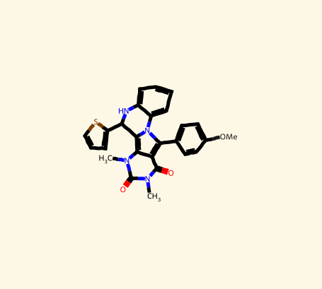 COc1ccc(-c2c3c(=O)n(C)c(=O)n(C)c3c3n2-c2ccccc2NC3c2cccs2)cc1